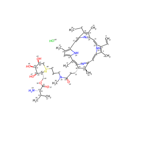 C=Cc1c(C)c2cc3nc(c(C)c4cc(C)c(cc5nc(cc1[nH]2)C(C)=C5CC)[nH]4)[C@@H](CCC(=O)N(C)CCC[SH]1C[C@H](O)[C@H](O)[C@H](O)[C@H]1COC(=O)[C@@H](N)C(C)C)[C@@H]3C.Cl